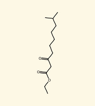 CCOC(=O)CC(=O)CCCCCC(C)C